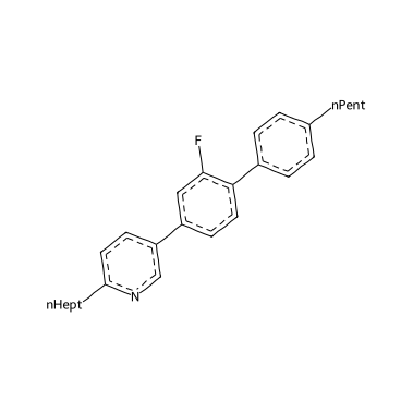 CCCCCCCc1ccc(-c2ccc(-c3ccc(CCCCC)cc3)c(F)c2)cn1